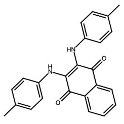 Cc1ccc(NC2=C(Nc3ccc(C)cc3)C(=O)c3ccccc3C2=O)cc1